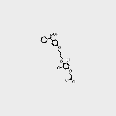 ON=C(c1ccccc1)c1ccc(OCCCCOc2c(Cl)cc(OCC=C(Cl)Cl)cc2Cl)cc1